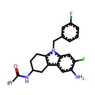 CC(C)C(=O)NC1CCc2c(c3cc(N)c(F)cc3n2Cc2cccc(F)c2)C1